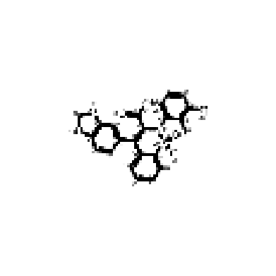 COC(=O)C1=C(c2ccc3c(c2)OCO3)c2ccccc2S(=O)(=O)N1c1cccc(Cl)c1C